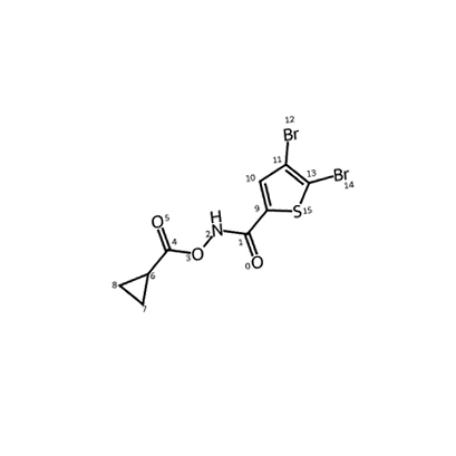 O=C(NOC(=O)C1CC1)c1cc(Br)c(Br)s1